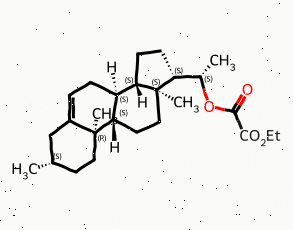 CCOC(=O)C(=O)O[C@@H](C)[C@H]1CC[C@H]2[C@@H]3CC=C4C[C@@H](C)CC[C@]4(C)[C@H]3CC[C@]12C